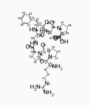 NC(N)=NCCC[C@H](N)C(=O)N1CCC[C@H]1C(=O)N1CCC[C@H]1C(=O)NCC(=O)N[C@@H](Cc1ccccc1)C(=O)N[C@@H](CO)C(=O)N1CCC[C@H]1C(=O)O